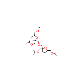 CCOCC1CCC(COCC2(COC(C)C)CCC(COCC)O2)(COC(C)C)O1